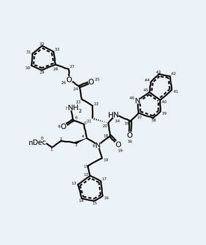 CCCCCCCCCCCCC[C@@H](CC(N)=O)N(CCc1ccccc1)C(=O)[C@H](CCCC(=O)OCc1ccccc1)NC(=O)c1ccc2ccccc2n1